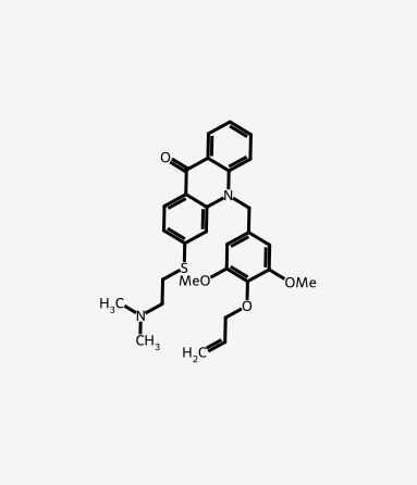 C=CCOc1c(OC)cc(Cn2c3ccccc3c(=O)c3ccc(SCCN(C)C)cc32)cc1OC